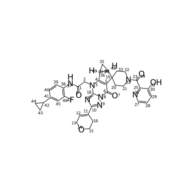 O=C(Cn1c2c(c(=O)n3nc(C4=CCOCC4)nc13)C1(CCN(C(=O)c3ncccc3O)CC1)[C@@H]1C[C@H]21)Nc1ccc(C2CC2)cc1F